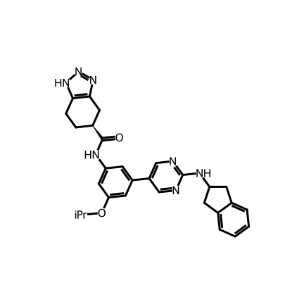 CC(C)Oc1cc(NC(=O)[C@H]2CCc3[nH]nnc3C2)cc(-c2cnc(NC3Cc4ccccc4C3)nc2)c1